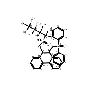 O=P(Sc1c(OS(=O)(=O)C(F)(F)C(F)(F)C(F)(F)C(F)(F)F)c2ccccc2c2ccccc12)(c1ccccc1)c1ccccc1